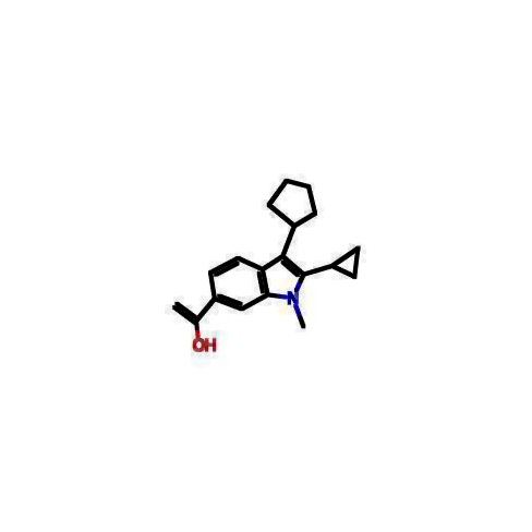 C=C(O)c1ccc2c(C3CCCC3)c(C3CC3)n(C)c2c1